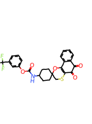 O=C(NC1CCC2(CC1)CSC1=C(O2)c2ccccc2C(=O)C1=O)Oc1cccc(C(F)(F)F)c1